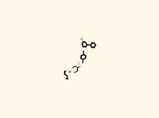 [C-]#[N+]c1cc(-c2ccccc2F)c2oc(-c3ccc(C(=O)NCC4CCN(c5nccc(C(F)(F)F)n5)CC4)cc3)nc2c1